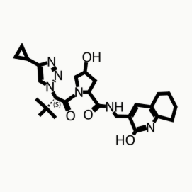 CC(C)(C)[C@@H](C(=O)N1CC(O)CC1C(=O)NCc1cc2c(nc1O)CCCC2)n1cc(C2CC2)nn1